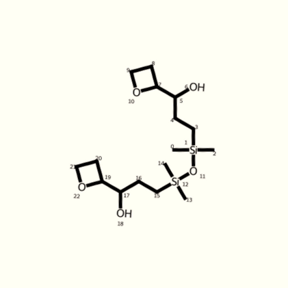 C[Si](C)(CCC(O)C1CCO1)O[Si](C)(C)CCC(O)C1CCO1